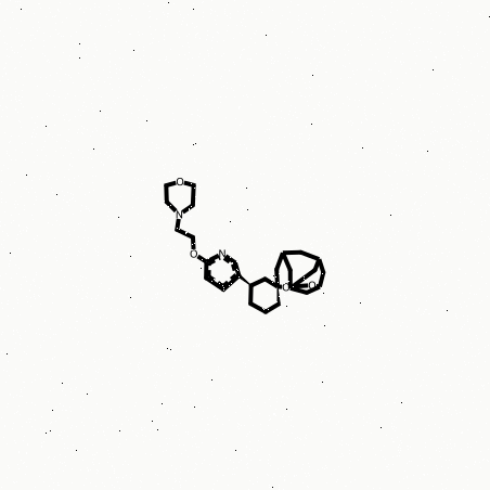 c1cc(OCCN2CCOCC2)ncc1[C@@H]1CCC[C@]2(CC3CC4CC(C3)CC(C4)OO2)C1